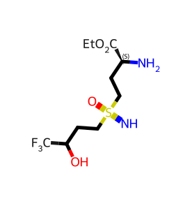 CCOC(=O)[C@@H](N)CCS(=N)(=O)CCC(O)C(F)(F)F